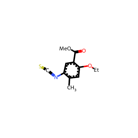 CCOc1cc(C)c(N=C=S)cc1C(=O)OC